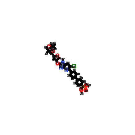 CO[Si](OC[C@@H]1C[C@@H](Oc2nc3nc(-c4ccc(-c5ccc(P(=O)(OC)OC)cc5)cc4)c(Cl)cc3n2C)CO1)(C(C)(C)C)C(C)(C)C